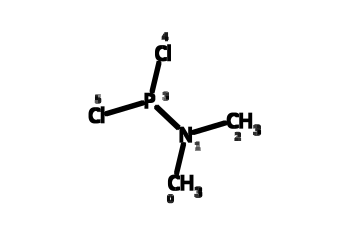 CN(C)P(Cl)Cl